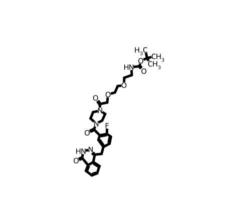 CC(C)(C)OC(=O)NCCOCCOCC(=O)N1CCN(C(=O)c2cc(Cc3n[nH]c(=O)c4ccccc34)ccc2F)CC1